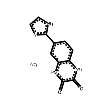 Cl.O=c1[nH]c2ccc(-c3ncc[nH]3)cc2[nH]c1=O